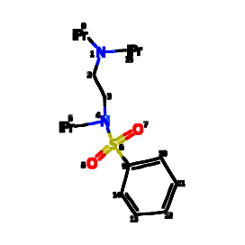 CC(C)N(CCN(C(C)C)S(=O)(=O)c1ccccc1)C(C)C